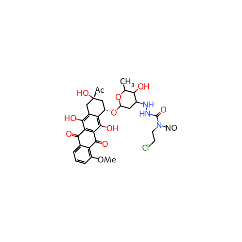 COc1cccc2c1C(=O)c1c(O)c3c(c(O)c1C2=O)C[C@@](O)(C(C)=O)C[C@@H]3OC1CC(NNC(=O)N(CCCl)N=O)C(O)C(C)O1